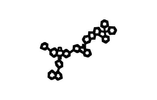 c1ccc(-c2ccc3c(c2)Oc2cc(-c4ccc5c(c4)c4ccccc4n5-c4ccc5cc6ccc7c(c6cc5c4)-c4ccccc4C7(c4ccccc4)c4ccccc4)ccc2N3c2ccc(-c3cccc4ccccc34)cc2)cc1